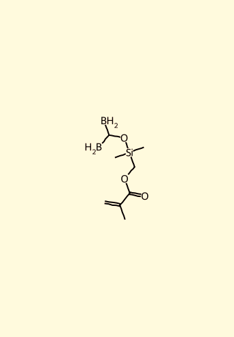 BC(B)O[Si](C)(C)COC(=O)C(=C)C